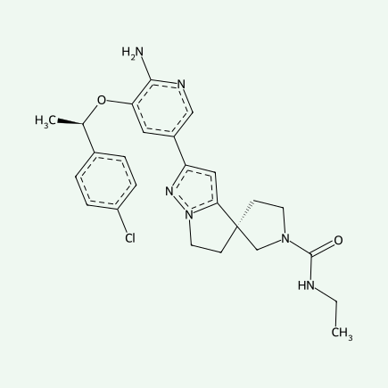 CCNC(=O)N1CC[C@@]2(CCn3nc(-c4cnc(N)c(O[C@H](C)c5ccc(Cl)cc5)c4)cc32)C1